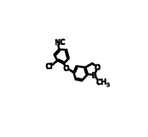 [C-]#[N+]c1ccc(Oc2ccc3c(c2)COB3C)c(Cl)c1